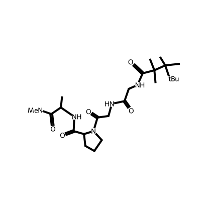 CNC(=O)C(C)NC(=O)C1CCCN1C(=O)CNC(=O)CNC(=O)C(C)(C)C(C)(C)C(C)(C)C